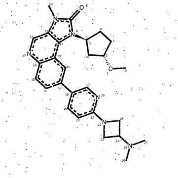 CO[C@H]1CC[C@H](n2c(=O)n(C)c3cnc4ccc(-c5ccc(N6CC(N(C)C)C6)nc5)cc4c32)C1